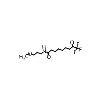 COCCCNC(=O)CCCCCCC(=O)C(F)(F)F